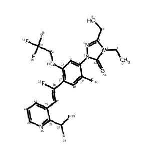 CCn1c(CO)nn(-c2cc(OCC(F)(F)F)c(/C(F)=C/c3cccnc3C(F)F)cc2F)c1=O